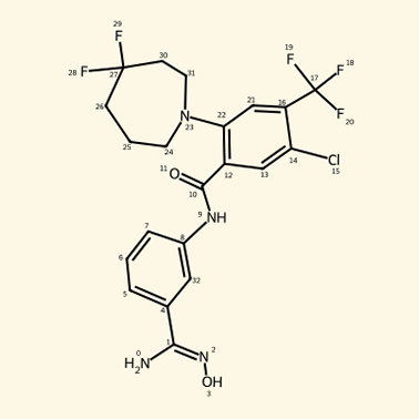 NC(=NO)c1cccc(NC(=O)c2cc(Cl)c(C(F)(F)F)cc2N2CCCC(F)(F)CC2)c1